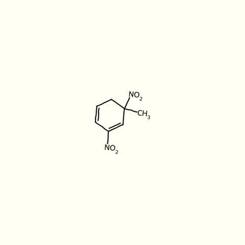 CC1([N+](=O)[O-])C=C([N+](=O)[O-])C=CC1